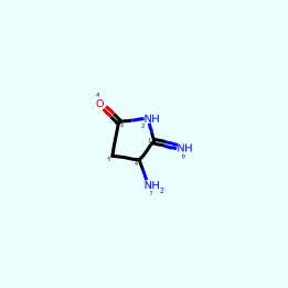 N=C1NC(=O)CC1N